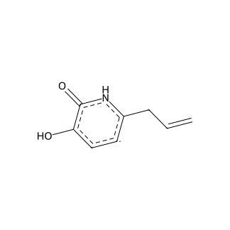 C=CCc1[c]cc(O)c(=O)[nH]1